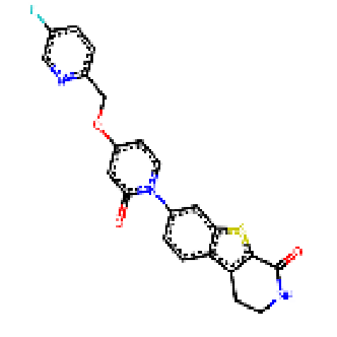 O=C1NCCc2c1sc1cc(-n3ccc(OCc4ccc(F)cn4)cc3=O)ccc21